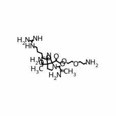 CC(=O)C1(C(=O)[C@@H](N)CCCNC(=N)N)CCN(C(=O)[C@@H](C)N)C1(C#N)C(=O)COCCOCCN